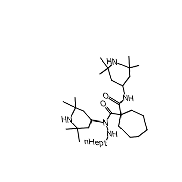 CCCCCCCNN(C(=O)C1(C(=O)NC2CC(C)(C)NC(C)(C)C2)CCCCCC1)C1CC(C)(C)NC(C)(C)C1